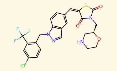 O=C1SC(=Cc2ccc3c(cnn3Cc3ccc(Cl)cc3C(F)(F)F)c2)C(=O)N1C[C@@H]1CNCCO1